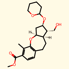 COC(=O)c1ccc2c(c1C)O[C@H]1C[C@@H](OC3CCCCO3)[C@H](CO)[C@H]1CC2